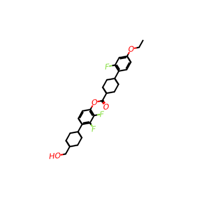 CCOc1ccc(C2CCC(C(=O)Oc3ccc(C4CCC(CO)CC4)c(F)c3F)CC2)c(F)c1